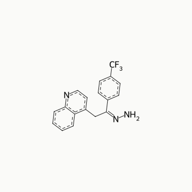 N/N=C(/Cc1ccnc2ccccc12)c1ccc(C(F)(F)F)cc1